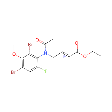 CCOC(=O)/C=C/CN(C(C)=O)c1c(F)cc(Br)c(OC)c1Br